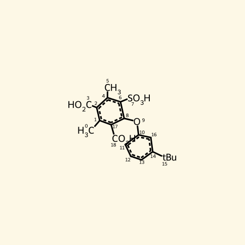 Cc1c(C(=O)O)c(C)c(S(=O)(=O)O)c(Oc2cccc(C(C)(C)C)c2)c1C(=O)O